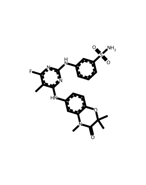 Cc1c(F)nc(Nc2cccc(S(N)(=O)=O)c2)nc1Nc1ccc2c(c1)N(C)C(=O)C(C)(C)O2